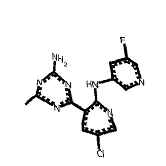 Cc1nc(N)nc(-c2cc(Cl)cnc2Nc2cncc(F)c2)n1